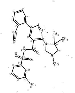 CC1CN(c2ncc(-c3ccccc3C#N)cc2C(=O)NS(=O)(=O)c2cccc(N)n2)C(C)(C)C1